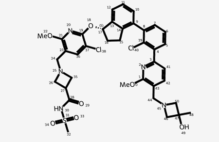 COc1nc(-c2cccc(-c3cccc4c3CC[C@@H]4Oc3nc(OC)c(CN4CC(C(=O)NS(C)(=O)=O)C4)cc3Cl)c2Cl)ccc1CN1CC(C)(O)C1